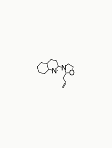 C=CCC1OCCN1C1CCC2CCCCC2[N]1